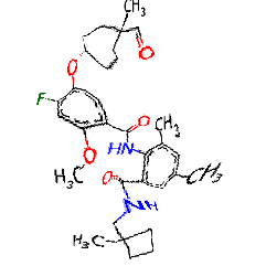 COc1cc(F)c(O[C@H]2CC[C@@](C)(C=O)CC2)cc1C(=O)Nc1c(C)cc(C)cc1C(=O)NCC1(C)CCC1